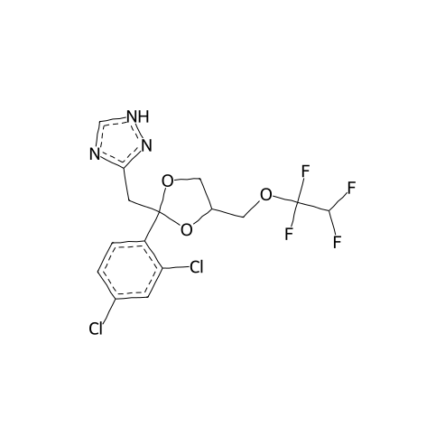 FC(F)C(F)(F)OCC1COC(Cc2nc[nH]n2)(c2ccc(Cl)cc2Cl)O1